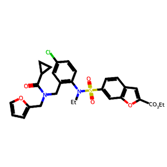 CCOC(=O)c1cc2ccc(S(=O)(=O)N(CC)c3ccc(Cl)cc3CN(Cc3ccco3)C(=O)C3CC3)cc2o1